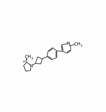 Cc1ccc(-c2ccc(C3CC(N4CCC[C@H]4C)C3)cc2)cn1